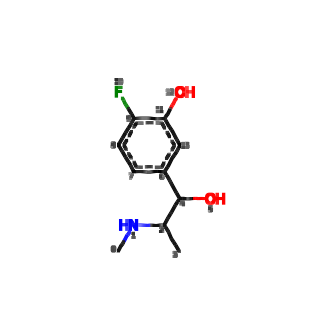 CNC(C)C(O)c1ccc(F)c(O)c1